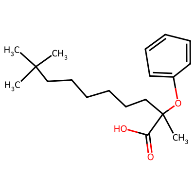 CC(C)(C)CCCCCCC(C)(Oc1ccccc1)C(=O)O